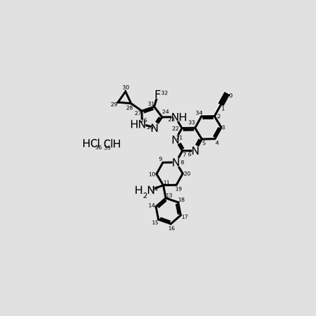 C#Cc1ccc2nc(N3CCC(N)(c4ccccc4)CC3)nc(Nc3n[nH]c(C4CC4)c3F)c2c1.Cl.Cl